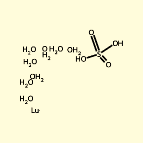 O.O.O.O.O.O.O.O.O=S(=O)(O)O.[Lu]